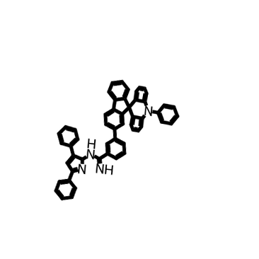 N=C(NC1N=C(c2ccccc2)C=C1c1ccccc1)c1cccc(-c2ccc3c(c2)C2(c4ccccc4-3)c3ccccc3N(c3ccccc3)c3ccccc32)c1